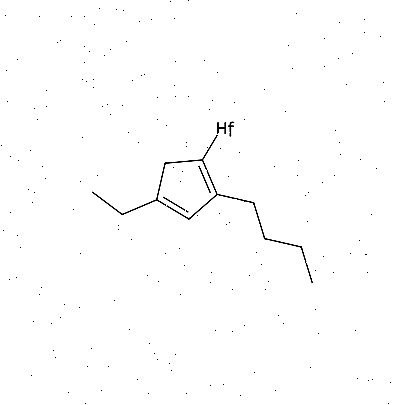 CCCCC1=[C]([Hf])CC(CC)=C1